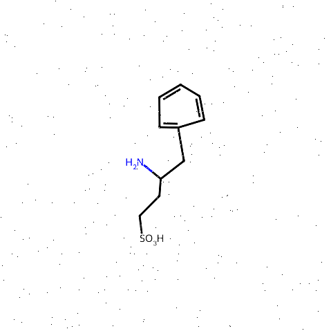 NC(CCS(=O)(=O)O)Cc1ccccc1